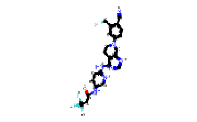 N#Cc1ccc(N2CCc3c(ncnc3Nc3ccc(NC(=O)CC(F)(F)F)cn3)C2)cc1CF